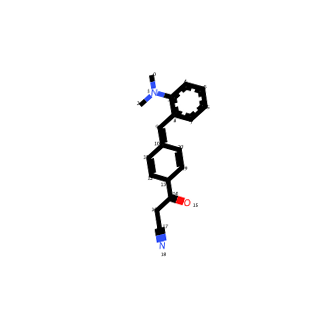 CN(C)c1ccccc1C=C1C=CC(C(=O)CC#N)C=C1